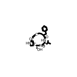 CC(C)C[C@@H]1NC(=O)C(Cc2ccccc2)CCCC=CCC2(CCNC2=O)C[C@@H](CO)NC1=O